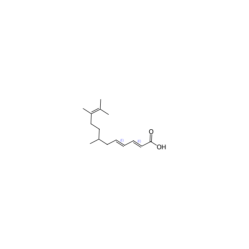 CC(C)=C(C)CCC(C)C/C=C/C=C/C(=O)O